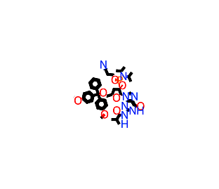 COc1ccc(C(OCC2C[C@@H](OP(OCCC#N)N(C(C)C)C(C)C)[C@H](n3cnc4c(=O)[nH]c(NC(=O)C(C)C)nc43)O2)(c2ccccc2)c2ccc(OC)cc2)cc1